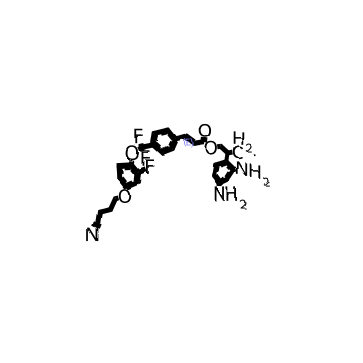 [CH2]C(COC(=O)/C=C/c1ccc(C(F)(F)Oc2ccc(OCCCC#N)cc2F)cc1)c1ccc(N)cc1N